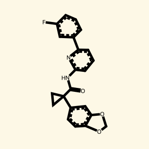 O=C(Nc1cccc(-c2cccc(F)c2)n1)C1(c2ccc3c(c2)OCO3)CC1